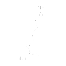 CCC(C)C(=O)OCCCCON